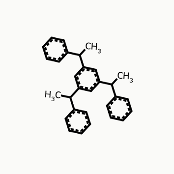 CC(c1ccccc1)c1cc(C(C)c2ccccc2)cc(C(C)c2ccccc2)c1